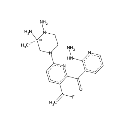 C=C(F)c1ccc(N2CCN(N)[C@](C)(N)C2)nc1C(=O)c1cccnc1NN